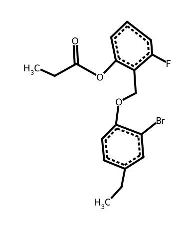 CCC(=O)Oc1cccc(F)c1COc1ccc(CC)cc1Br